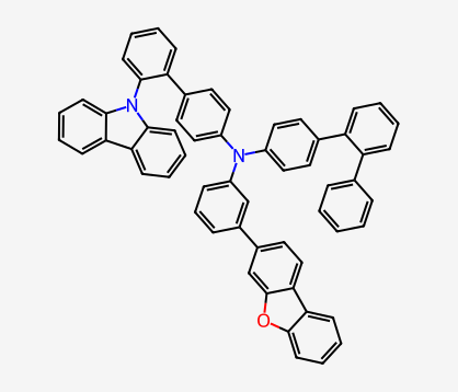 c1ccc(-c2ccccc2-c2ccc(N(c3ccc(-c4ccccc4-n4c5ccccc5c5ccccc54)cc3)c3cccc(-c4ccc5c(c4)oc4ccccc45)c3)cc2)cc1